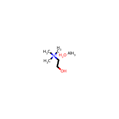 C[N+](C)(C)CCO.O.[AlH3]